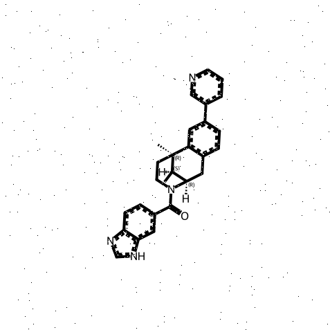 C[C@@H]1[C@H]2Cc3ccc(-c4cccnc4)cc3[C@]1(C)CCN2C(=O)c1ccc2nc[nH]c2c1